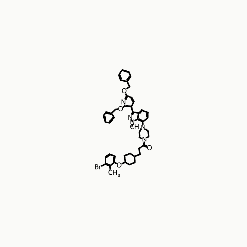 Cc1c(Br)cccc1OC1CCC(CCC(=O)N2CCN(c3cccc4c(-c5ccc(OCc6ccccc6)nc5OCc5ccccc5)nn(C)c34)CC2)CC1